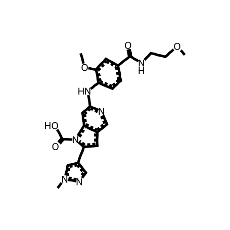 COCCNC(=O)c1ccc(Nc2cc3c(cn2)cc(-c2cnn(C)c2)n3C(=O)O)c(OC)c1